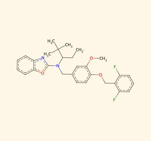 [CH2]CC(N(Cc1ccc(OCc2c(F)cccc2F)c(OC)c1)c1nc2ccccc2o1)C(C)(C)C